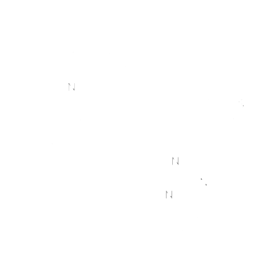 c1ccc(-c2nc(-c3ccccc3)nc(-c3ccc4sc5ccc(-c6cccc(-c7ccc8c(c7)c7ccccc7n8-c7ccccc7)c6)cc5c4c3)n2)cc1